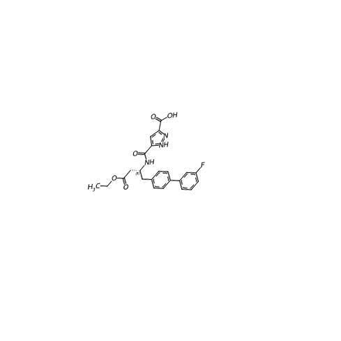 CCOC(=O)C[C@@H](Cc1ccc(-c2cccc(F)c2)cc1)NC(=O)c1cc(C(=O)O)n[nH]1